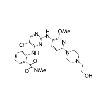 CNS(=O)(=O)c1ccccc1Nc1nc(Nc2ccc(N3CCN(CCO)CC3)nc2OC)ncc1Cl